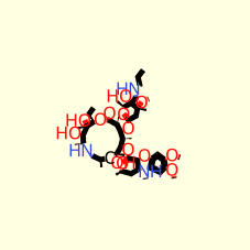 CCCNC[C@]1(O)[C@H](C)O[C@@H](O[C@H]2[C@H](C)[C@@H](O[C@@H]3O[C@H](C)C[C@H](NC)[C@H]3Oc3ccc(OC)c(OC)c3)[C@](C)(O)C[C@@H](C)CN[C@H](C)[C@@H](O)[C@](C)(O)[C@@H](CC)OC(=O)[C@@H]2C)C[C@@]1(C)OC